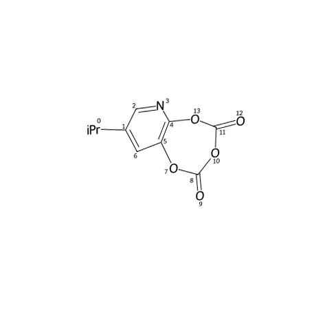 CC(C)c1cnc2c(c1)OC(=O)OC(=O)O2